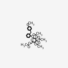 COc1ccc(Cc2ccccc2O[C@H]2O[C@H](COC(C)=O)[C@@H](OC(C)=O)[C@H](OC(C)=O)[C@H]2OC(C)=O)cc1